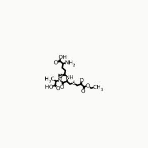 CCOC(=O)C(=O)CSCC(NC(=O)CCC(N)C(=O)O)C(=O)NC(C)C(=O)O